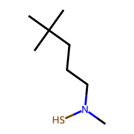 CN(S)CCCC(C)(C)C